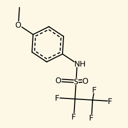 COc1ccc(NS(=O)(=O)C(F)(F)C(F)(F)F)cc1